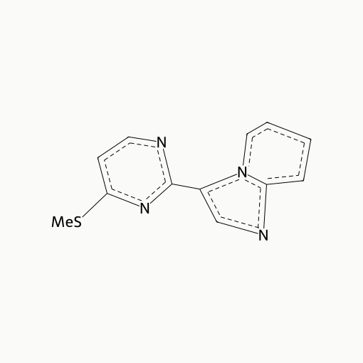 CSc1ccnc(-c2cnc3ccccn23)n1